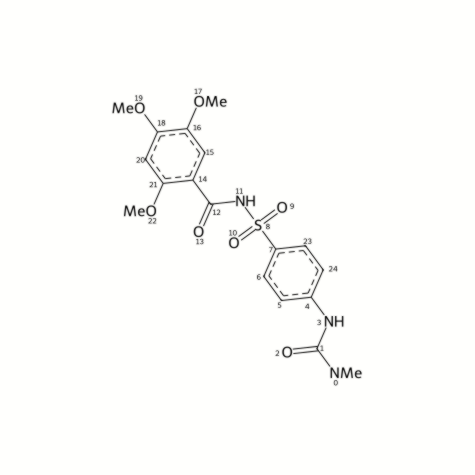 CNC(=O)Nc1ccc(S(=O)(=O)NC(=O)c2cc(OC)c(OC)cc2OC)cc1